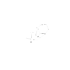 O=P(O)(O)OC1C2CCCN1CC2